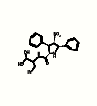 CC(C)CC(NC(=O)[C@H]1N[C@@H](c2ccccc2)[C@@H]([N+](=O)[O-])[C@@H]1c1ccccc1)B(O)O